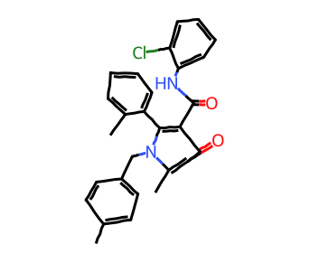 Cc1ccc(Cn2c(C)cc(=O)c(C(=O)Nc3ccccc3Cl)c2-c2ccccc2C)cc1